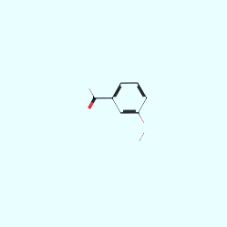 O=C(O)c1cccc(OCl)c1